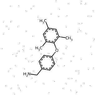 Cc1cc(C)c(Oc2ccc(CN)cc2)c(C)c1